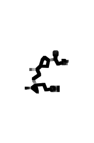 C[C@@H](CC[C@]1(CCO)C[C@@H]1C)C1CC[C@H](C(=O)CBr)C1